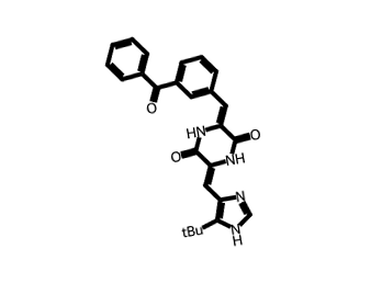 CC(C)(C)c1[nH]cnc1/C=c1\[nH]c(=O)/c(=C/c2cccc(C(=O)c3ccccc3)c2)[nH]c1=O